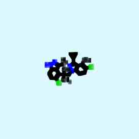 Cc1n[nH]c2ccc(Cl)c(C(C)(C)Cn3nc(C4CC4)c4c(C(C)(C)C)c(Cl)ccc43)c12